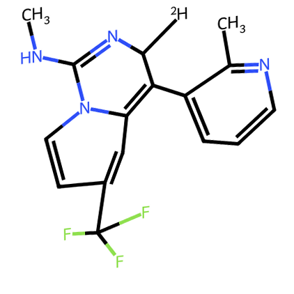 [2H]C1N=C(NC)N2C=CC(C(F)(F)F)=CC2=C1c1cccnc1C